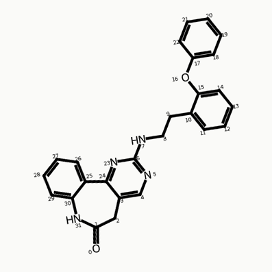 O=C1Cc2cnc(NCCc3ccccc3Oc3ccccc3)nc2-c2ccccc2N1